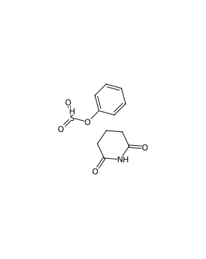 O=C1CCCC(=O)N1.O=[SH](=O)Oc1ccccc1